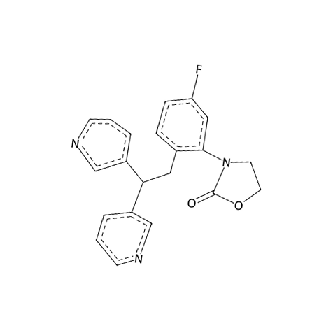 O=C1OCCN1c1cc(F)ccc1CC(c1cccnc1)c1cccnc1